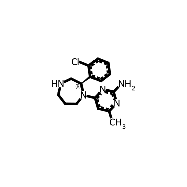 Cc1cc(N2CCCNC[C@H]2c2ccccc2Cl)nc(N)n1